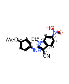 CCn1c(Nc2ccc(OC)cc2)c(C#N)c2ccc([N+](=O)O)cc21